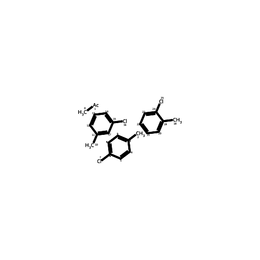 CC(C)=O.Cc1ccc(Cl)cc1.Cc1cccc(Cl)c1.Cc1ccccc1Cl